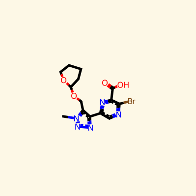 Cn1nnc(-c2cnc(Br)c(C(=O)O)n2)c1COC1CCCCO1